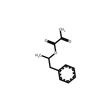 CC(=O)C(=O)OC(C)Cc1ccccc1